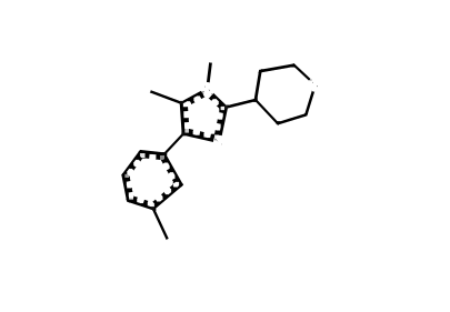 Cc1c(-c2cccc(F)c2)nc(C2CCNCC2)n1C.Cl